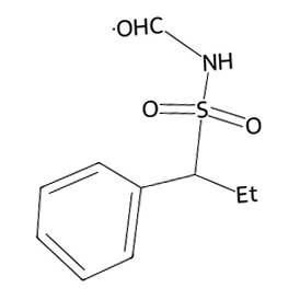 CCC(c1ccccc1)S(=O)(=O)N[C]=O